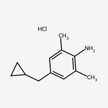 Cc1cc(CC2CC2)cc(C)c1N.Cl